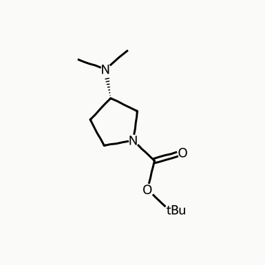 CN(C)[C@H]1CCN(C(=O)OC(C)(C)C)C1